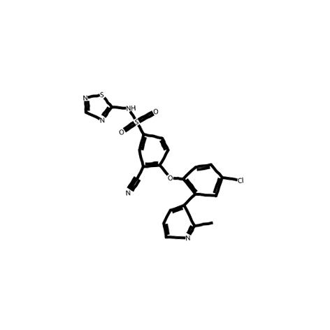 Cc1ncccc1-c1cc(Cl)ccc1Oc1ccc(S(=O)(=O)Nc2ncns2)cc1C#N